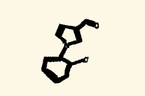 O=Cc1ccn(-c2ccccc2Cl)c1